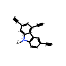 C#Cc1ccc2c(c1)c1c(C#C)cc(C#C)cc1n2C(C)=O